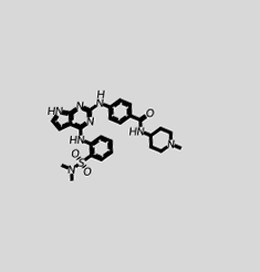 CN1CCC(NC(=O)c2ccc(Nc3nc(Nc4ccccc4S(=O)(=O)N(C)C)c4cc[nH]c4n3)cc2)CC1